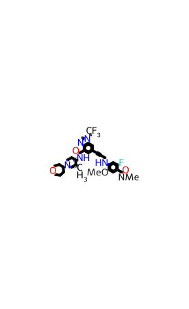 CNC(=O)c1cc(OC)c(NCC#Cc2cc(C(=O)N[C@H]3CCN(C4CCCOCC4)C[C@@H]3C)c3ncn(CC(F)(F)F)c3c2)cc1F